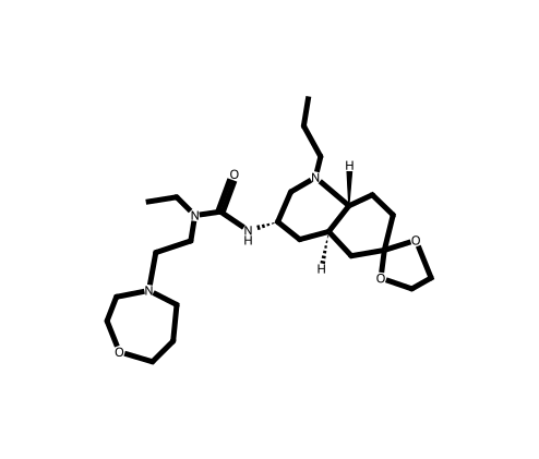 CCCN1C[C@@H](NC(=O)N(CC)CCN2CCCOCC2)C[C@@H]2CC3(CC[C@H]21)OCCO3